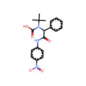 CC(C)(C)N(C(=O)O)C(C(=O)Nc1ccc([N+](=O)[O-])cc1)c1ccccc1